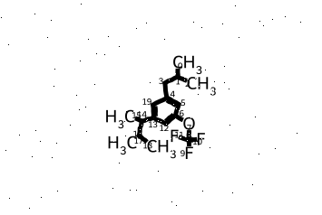 CC(C)Cc1cc(OC(F)(F)F)cc(C(C)C(C)C)c1